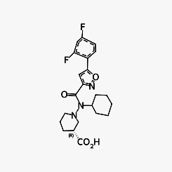 O=C(O)[C@@H]1CCCN(N(C(=O)c2cc(-c3ccc(F)cc3F)on2)C2CCCCC2)C1